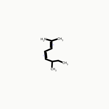 CCC(C)/C=C\C=C(\C)N